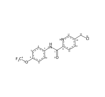 O=C(Nc1ccc(OC(F)(F)F)cc1)c1ccc(CCl)cn1